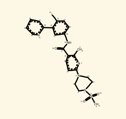 Cc1nc(N2CCN(S(C)(=O)=O)CC2)ccc1C(=O)Nc1ccc(I)c(-c2ccccn2)c1